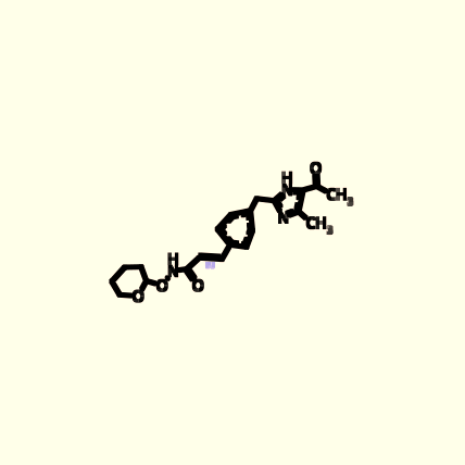 CC(=O)c1[nH]c(Cc2ccc(/C=C/C(=O)NOC3CCCCO3)cc2)nc1C